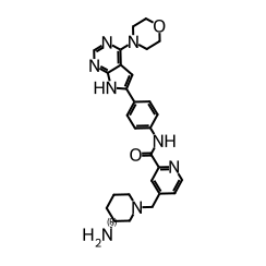 N[C@@H]1CCCN(Cc2ccnc(C(=O)Nc3ccc(-c4cc5c(N6CCOCC6)ncnc5[nH]4)cc3)c2)C1